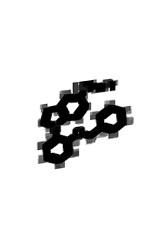 CCCNc1ccc2c(ccn2-c2ccccc2OCc2ccccc2)c1